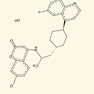 CC(C[C@H]1CC[C@H](c2ccnc3ccc(F)cc32)CC1)Nc1cc(=O)oc2cc(Cl)ccc12.Cl